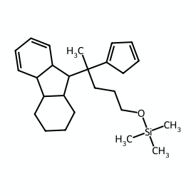 CC(CCCO[Si](C)(C)C)(C1=CC=CC1)C1C2C=CC=CC2C2CCCCC21